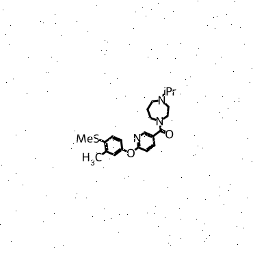 CSc1ccc(Oc2ccc(C(=O)N3CCCN(C(C)C)CC3)cn2)cc1C